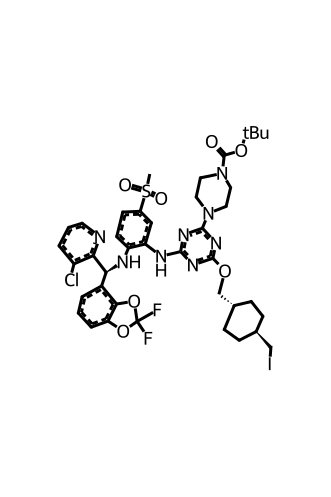 CC(C)(C)OC(=O)N1CCN(c2nc(Nc3cc(S(C)(=O)=O)ccc3N[C@@H](c3cccc4c3OC(F)(F)O4)c3ncccc3Cl)nc(OC[C@H]3CC[C@H](CI)CC3)n2)CC1